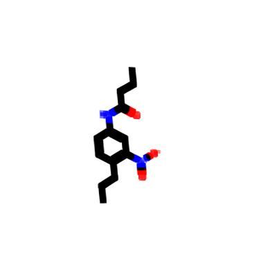 C[CH]Cc1ccc(NC(=O)CCC)cc1[N+](=O)[O-]